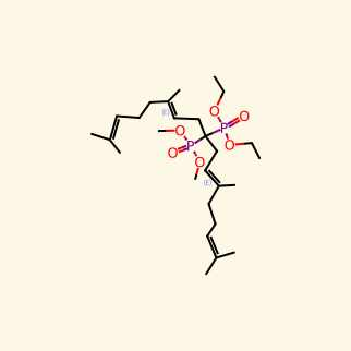 CCOP(=O)(OCC)C(C/C=C(\C)CCC=C(C)C)(C/C=C(\C)CCC=C(C)C)P(=O)(OC)OC